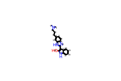 CN(C)CCCc1ccc2nc(-c3c(O)[nH]c4ccccc34)[nH]c2c1